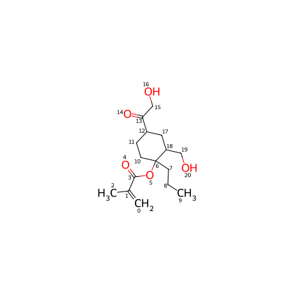 C=C(C)C(=O)OC1(CCC)CCC(C(=O)CO)CC1CO